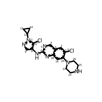 Clc1cc2cnc(Nc3cnn(C4CC4)c3Cl)nc2cc1N1CCNCC1